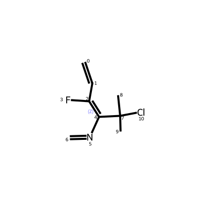 C=C/C(F)=C(/N=C)C(C)(C)Cl